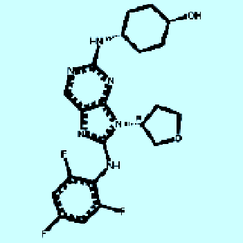 O[C@H]1CC[C@H](Nc2ncc3nc(Nc4c(F)cc(F)cc4F)n([C@@H]4CCOC4)c3n2)CC1